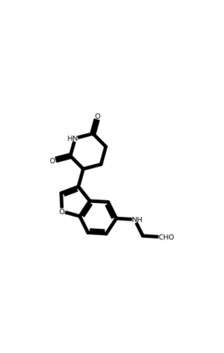 O=CCNc1ccc2occ(C3CCC(=O)NC3=O)c2c1